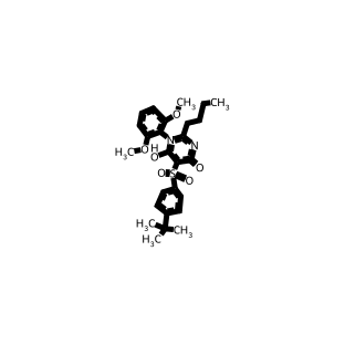 CCCCc1nc(=O)c(S(=O)(=O)c2ccc(C(C)(C)C)cc2)c(O)n1-c1c(OC)cccc1OC